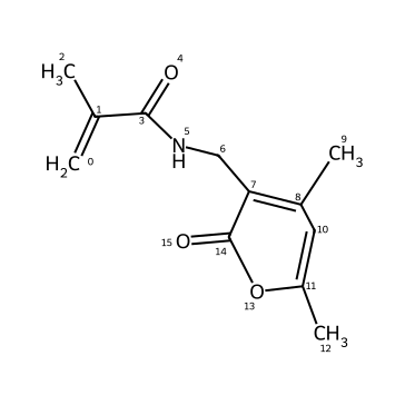 C=C(C)C(=O)NCc1c(C)cc(C)oc1=O